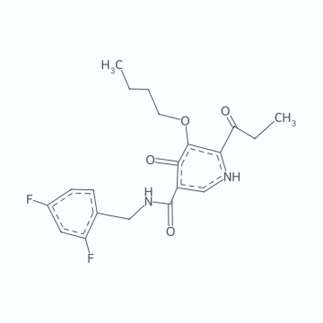 CCCCOc1c(C(=O)CC)[nH]cc(C(=O)NCc2ccc(F)cc2F)c1=O